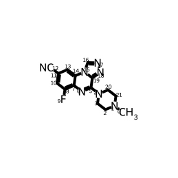 CN1CCN(c2nc3c(F)cc(C#N)cc3n3cnnc23)CC1